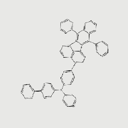 c1ccc(-c2ccc(N(c3ccncc3)c3ccc(-c4ccc5c6c(cccc46)-c4c-5c(-c5ccccc5)c5ccccc5c4-c4ccccc4)cc3)cc2)cc1